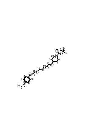 CC(C)(C)OC(=O)N1CCC(OCCOCCOCCOc2ccc(N)cc2)CC1